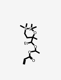 C=CC(=O)OC(C)OC(CC)C1(C)CC[Si](C)(C)[Si](C)(C)O1